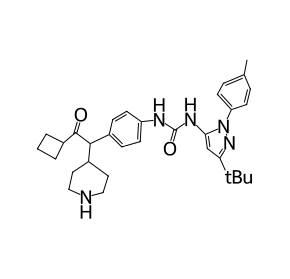 Cc1ccc(-n2nc(C(C)(C)C)cc2NC(=O)Nc2ccc(C(C(=O)C3CCC3)C3CCNCC3)cc2)cc1